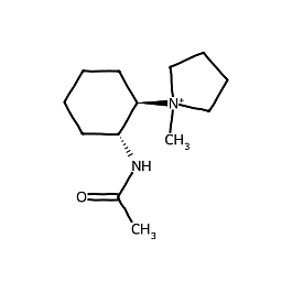 CC(=O)N[C@@H]1CCCC[C@H]1[N+]1(C)CCCC1